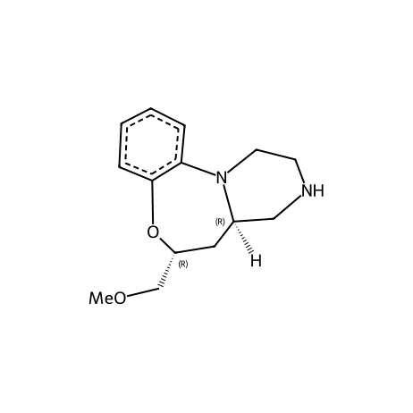 COC[C@H]1C[C@@H]2CNCCN2c2ccccc2O1